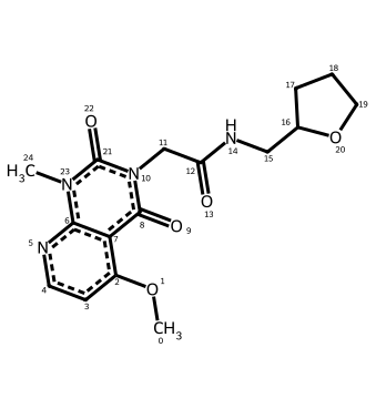 COc1ccnc2c1c(=O)n(CC(=O)NCC1CCCO1)c(=O)n2C